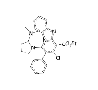 CCOC(=O)c1c(Cl)c(-c2ccccc2)c(N2CCCC2N(C)C)n2c1nc1ccccc12